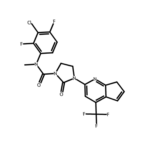 CN(C(=O)N1CCN(c2cc(C(F)(F)F)c3c(n2)CC=C3)C1=O)c1ccc(F)c(Cl)c1F